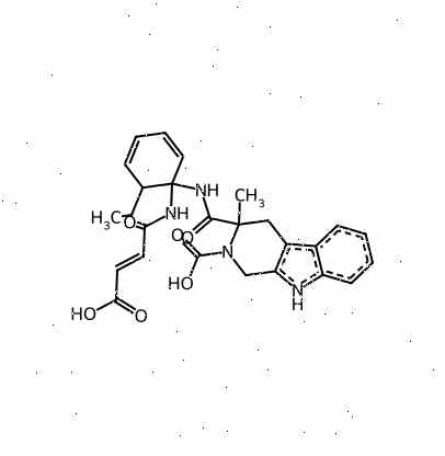 CCC1C=CC=CC1(NC(=O)C=CC(=O)O)NC(=O)C1(C)Cc2c([nH]c3ccccc23)CN1C(=O)O